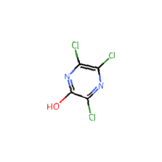 Oc1nc(Cl)c(Cl)nc1Cl